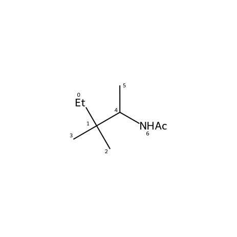 CCC(C)(C)C(C)NC(C)=O